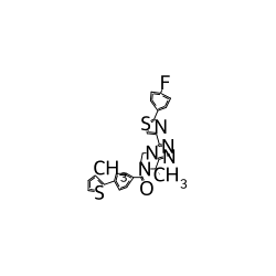 Cc1ccsc1-c1ccc(C(=O)N2CCn3c(-c4csc(-c5ccc(F)cc5)n4)nnc3[C@@H]2C)cc1